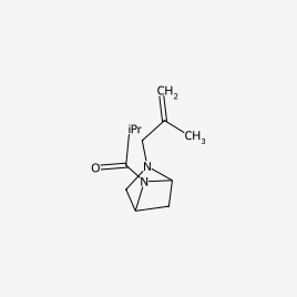 C=C(C)CN1CC2CC1N2C(=O)C(C)C